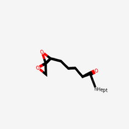 CCCCCCCC(=O)CCCCC1OC12CO2